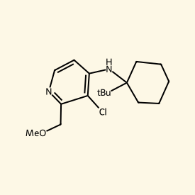 COCc1nccc(NC2(C(C)(C)C)CCCCC2)c1Cl